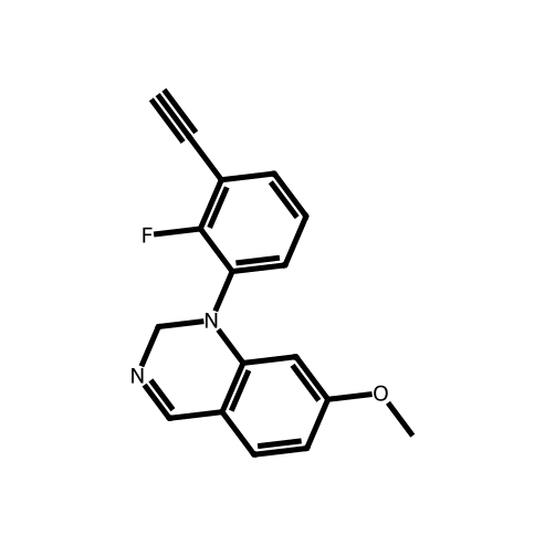 C#Cc1cccc(N2CN=Cc3ccc(OC)cc32)c1F